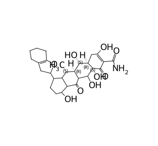 C[C@H]1C2C(C3CC4=C(CCCC4)O3)CCC(O)C2C(=O)C2C(O)[C@]3(O)C(=O)C(C(N)=O)=C(O)C[C@@H]3[C@@H](O)[C@@H]21